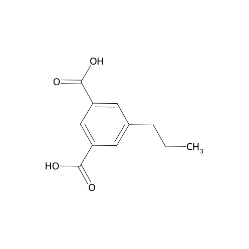 CCCc1cc(C(=O)O)cc(C(=O)O)c1